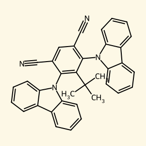 CC(C)(C)c1c(-n2c3ccccc3c3ccccc32)c(C#N)cc(C#N)c1-n1c2ccccc2c2ccccc21